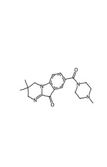 CN1CCN(C(=O)c2ccc3c(c2)C(=O)C2=NCC(C)(C)CN23)CC1